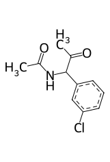 CC(=O)NC(C(C)=O)c1cccc(Cl)c1